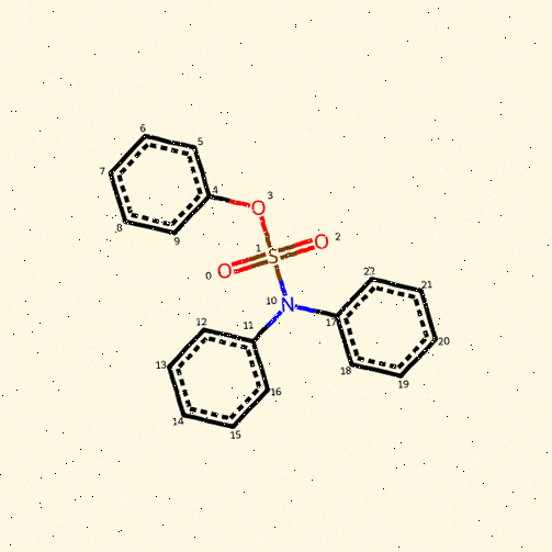 O=S(=O)(Oc1ccccc1)N(c1ccccc1)c1ccccc1